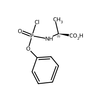 C[C@H](NP(=O)(Cl)Oc1ccccc1)C(=O)O